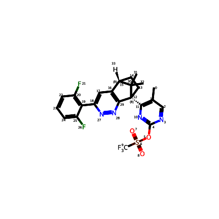 Cc1cnc(OS(=O)(=O)C(F)(F)F)nc1[C@]12CC[C@@H](c3cc(-c4c(F)cccc4F)nnc31)C2(C)C